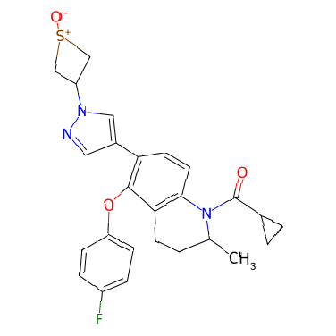 CC1CCc2c(ccc(-c3cnn(C4C[S+]([O-])C4)c3)c2Oc2ccc(F)cc2)N1C(=O)C1CC1